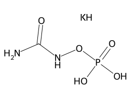 NC(=O)NOP(=O)(O)O.[KH]